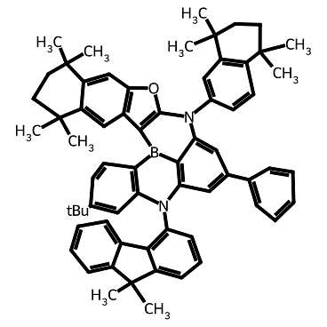 CC(C)(C)c1ccc2c(c1)N(c1cccc3c1-c1ccccc1C3(C)C)c1cc(-c3ccccc3)cc3c1B2c1c(oc2cc4c(cc12)C(C)(C)CCC4(C)C)N3c1ccc2c(c1)C(C)(C)CCC2(C)C